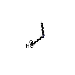 CCCCCCC/C=C\CCCCCCC(=O)O